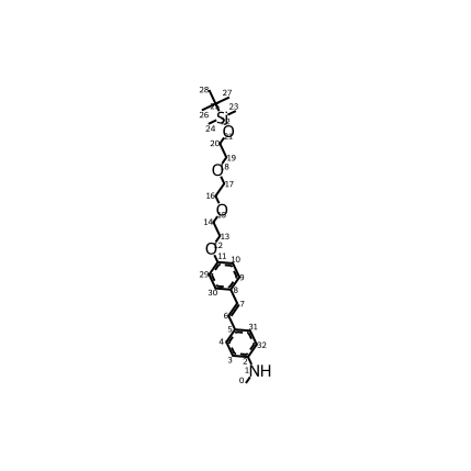 CNc1ccc(C=Cc2ccc(OCCOCCOCCO[Si](C)(C)C(C)(C)C)cc2)cc1